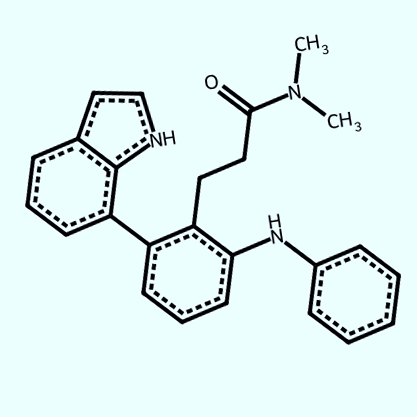 CN(C)C(=O)CCc1c(Nc2ccccc2)cccc1-c1cccc2cc[nH]c12